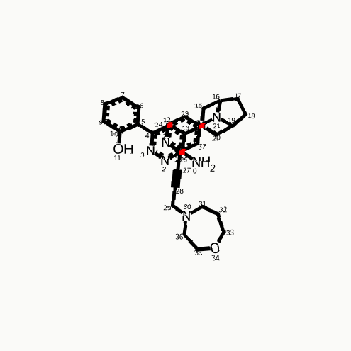 Nc1nnc(-c2ccccc2O)cc1N1CC2CCC(C1)N2c1ccnc(C#CCN2CCCOCC2)c1